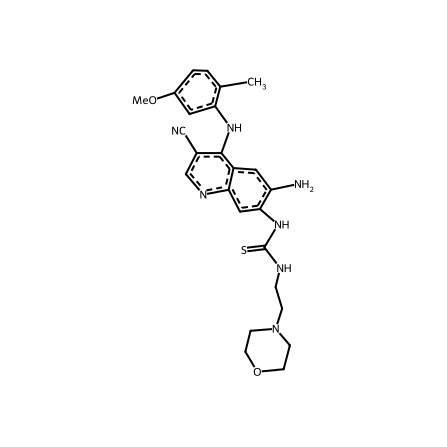 COc1ccc(C)c(Nc2c(C#N)cnc3cc(NC(=S)NCCN4CCOCC4)c(N)cc23)c1